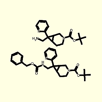 CC(C)(C)OC(=O)N1CCC2C(C1)C2(CN)c1ccccn1.CC(C)(C)OC(=O)N1CCC2C(C1)C2(CNC(=O)OCc1ccccc1)c1ccccn1